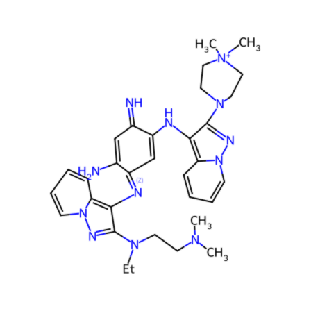 CCN(CCN(C)C)c1nn2ccccc2c1/N=C1/C=C(Nc2c(N3CC[N+](C)(C)CC3)nn3ccccc23)C(=N)C=C1N